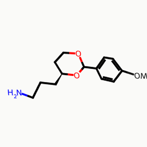 COc1ccc(C2OCC[C@H](CCCN)O2)cc1